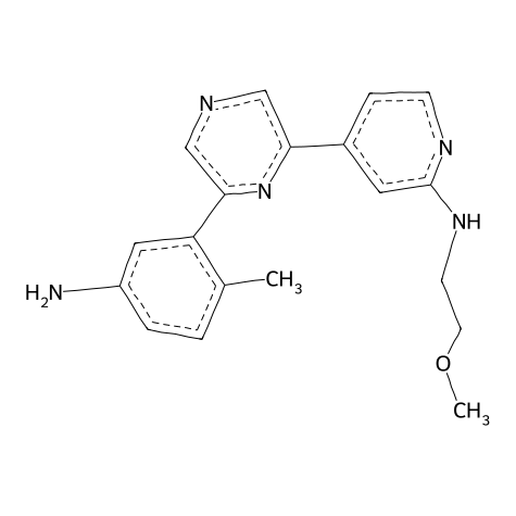 COCCNc1cc(-c2cncc(-c3cc(N)ccc3C)n2)ccn1